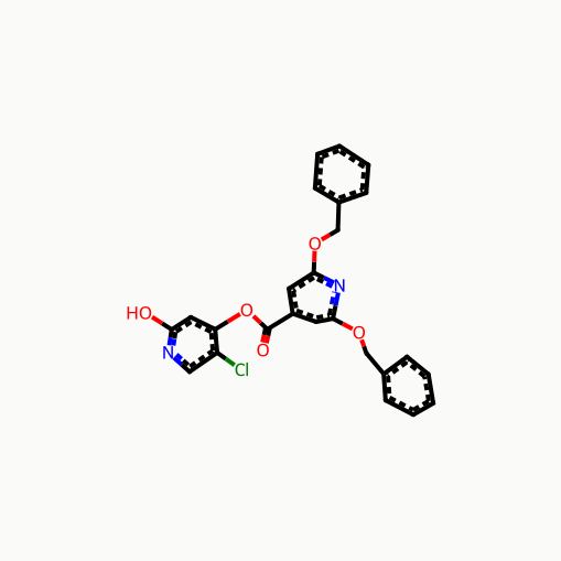 O=C(Oc1cc(O)ncc1Cl)c1cc(OCc2ccccc2)nc(OCc2ccccc2)c1